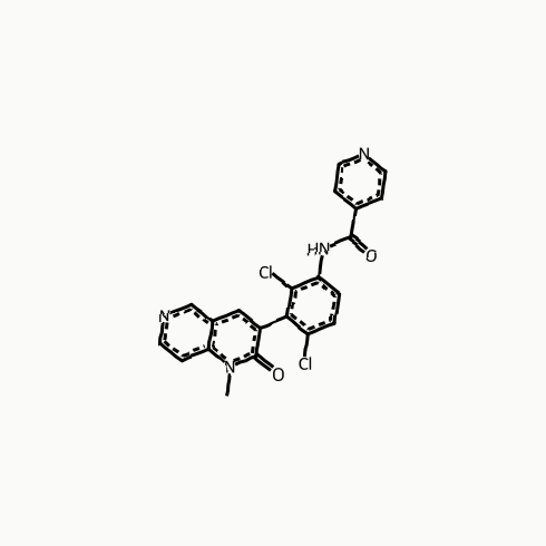 Cn1c(=O)c(-c2c(Cl)ccc(NC(=O)c3ccncc3)c2Cl)cc2cnccc21